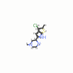 Cc1sc2[nH]c(C3CN(C)CC[N]3)cc2c1Cl